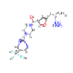 CC(N)Cc1cc(C(=O)N2CCN(c3ncc(C(F)(F)F)cn3)CC2)co1